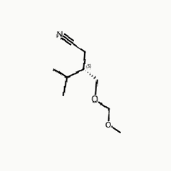 COCOC[C@@H](CC#N)C(C)C